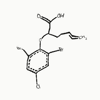 C=CCC(Oc1c(Br)cc(Cl)cc1Br)C(=O)O